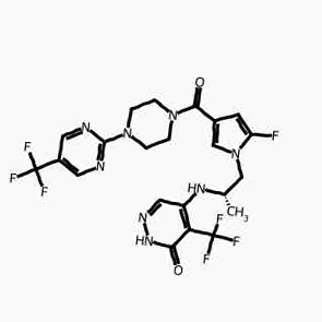 C[C@@H](Cn1cc(C(=O)N2CCN(c3ncc(C(F)(F)F)cn3)CC2)cc1F)Nc1cn[nH]c(=O)c1C(F)(F)F